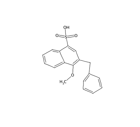 COc1c(Cc2ccccc2)cc(S(=O)(=O)O)c2ccccc12